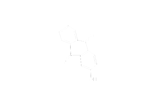 O=C1c2ccccc2C(=O)c2cc(O)ccc21